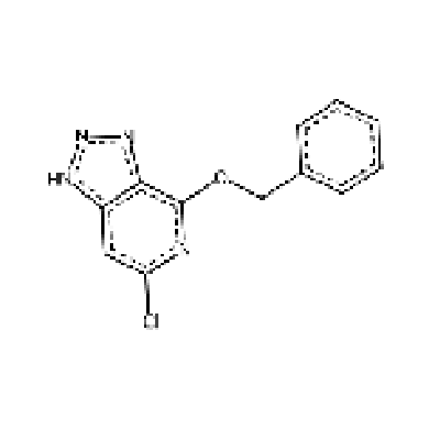 Clc1cc2[nH]nnc2c(OCc2ccccc2)n1